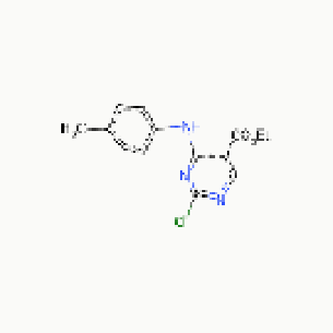 CCOC(=O)c1cnc(Cl)nc1Nc1ccc(C)cc1